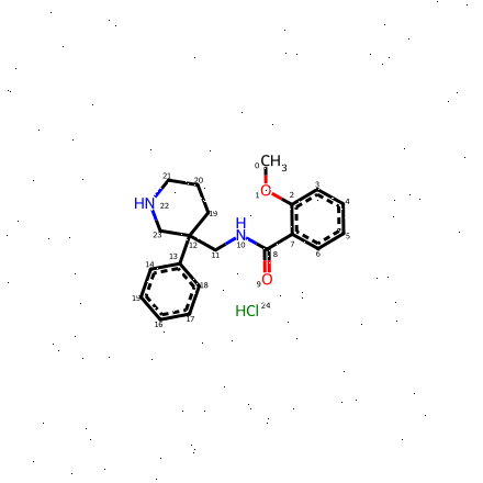 COc1ccccc1C(=O)NCC1(c2ccccc2)CCCNC1.Cl